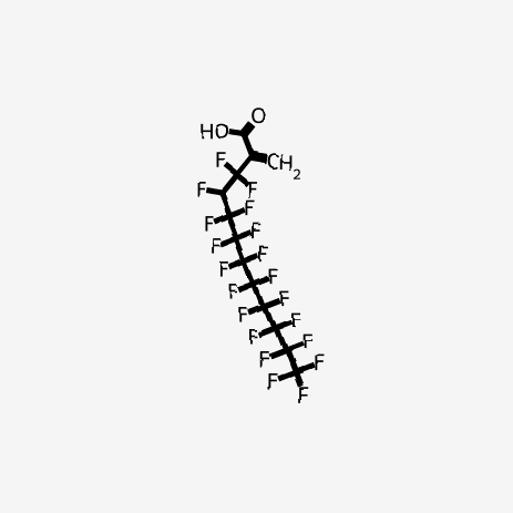 C=C(C(=O)O)C(F)(F)C(F)C(F)(F)C(F)(F)C(F)(F)C(F)(F)C(F)(F)C(F)(F)C(F)(F)C(F)(F)F